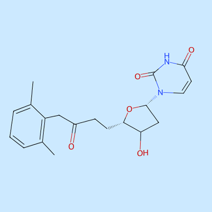 Cc1cccc(C)c1CC(=O)CC[C@@H]1O[C@H](n2ccc(=O)[nH]c2=O)CC1O